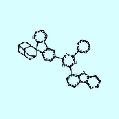 c1ccc(-c2nc(-c3ccc4c(c3)-c3cccnc3C43C4CC5CC(C4)CC3C5)nc(-c3cccc4c3sc3ccccc34)n2)cc1